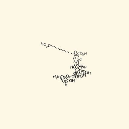 Nc1ccn([C@@H]2O[C@H](COP(O)O[C@@]3(C(=O)O)CC(O)[C@@H](NC(=O)CNC(=O)CC[C@H](NC(=O)CCCCCCCCCCCCCCC(=O)O)C(=O)O)C(C(O)[C@H](O)CO)O3)C(O)C2O)c(=O)n1